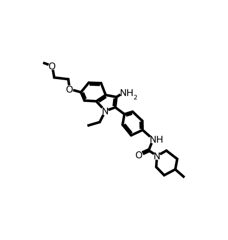 CCn1c(-c2ccc(NC(=O)N3CCC(C)CC3)cc2)c(N)c2ccc(OCCOC)cc21